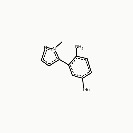 Cn1nccc1-c1cc(C(C)(C)C)ccc1N